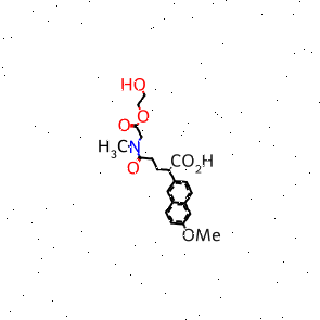 COc1ccc2cc([C@H](CCC(=O)N(C)CC(=O)OCCO)C(=O)O)ccc2c1